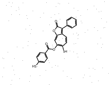 O=C(Oc1cc2oc(=O)c(-c3ccccc3)c-2ccc1S)c1ccc(S)cc1